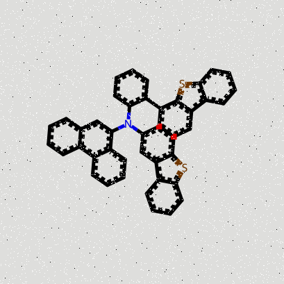 c1ccc(N(c2ccc3sc4ccccc4c3c2)c2cc3ccccc3c3ccccc23)c(-c2cccc3c2sc2ccccc23)c1